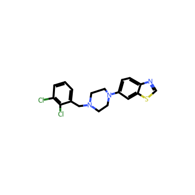 Clc1cccc(CN2CCN(c3ccc4ncsc4c3)CC2)c1Cl